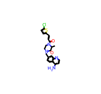 CC1C(=O)N(Cc2ccc3c(N)ccnc3c2)CCN1C(=O)C=Cc1ccc(Cl)s1